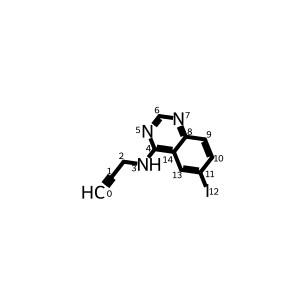 C#CCNc1ncnc2ccc(I)cc12